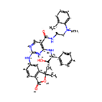 Cc1ccccc1N(C)CCNC(=O)c1cnc(Nc2ccc3c(c2)C(C)(C)OC3=O)nc1N[C@H](CO)c1ccccc1